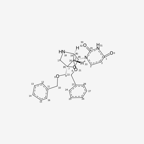 O=c1ccn([C@@H]2O[C@@]3(COCc4ccccc4)CN[C@@H]2[C@@H]3OCc2ccccc2)c(=O)[nH]1